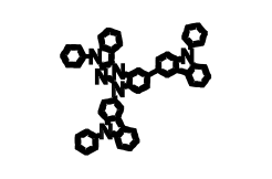 c1ccc(-n2c3ccccc3c3cc(-c4ccc5c(c4)n4c6c7ccccc7n(-c7ccccc7)c6nc4n5-c4ccc5c(c4)c4ccccc4n5-c4ccccc4)ccc32)cc1